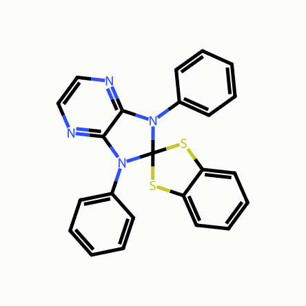 c1ccc(N2c3nccnc3N(c3ccccc3)C23Sc2ccccc2S3)cc1